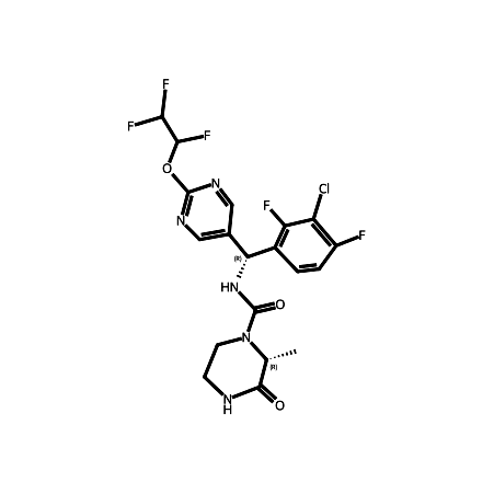 C[C@@H]1C(=O)NCCN1C(=O)N[C@H](c1cnc(OC(F)C(F)F)nc1)c1ccc(F)c(Cl)c1F